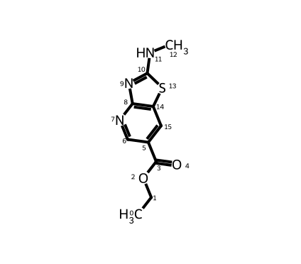 CCOC(=O)c1cnc2nc(NC)sc2c1